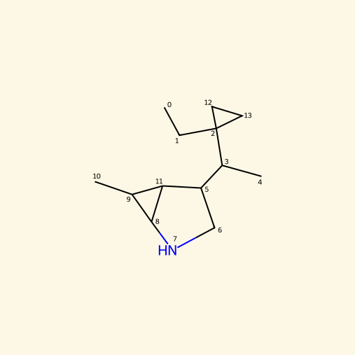 CCC1(C(C)C2CNC3C(C)C23)CC1